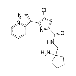 NC1(CNC(=O)c2nc(-c3cnn4ccccc34)c(Cl)s2)CCCC1